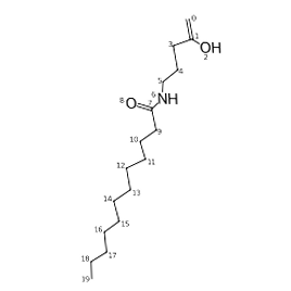 C=C(O)CCCNC(=O)CCCCCCCCCCC